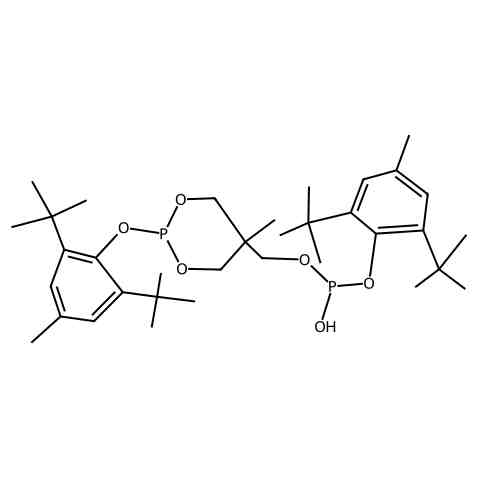 Cc1cc(C(C)(C)C)c(OP(O)OCC2(C)COP(Oc3c(C(C)(C)C)cc(C)cc3C(C)(C)C)OC2)c(C(C)(C)C)c1